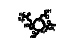 CC(C)C(=O)CCC(C(=O)O)N1CCN(CC(=O)O)CCN(C(C(=O)O)C(C)C)CCN(CC(=O)O)CC1